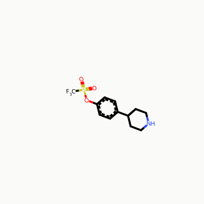 O=S(=O)(Oc1ccc(C2CCNCC2)cc1)C(F)(F)F